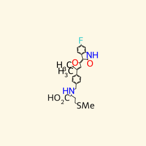 CSCC[C@H](NCc1ccc(C2=C/C(=C3\C(=O)Nc4cc(F)ccc43)OC2(C)C)cc1)C(=O)O